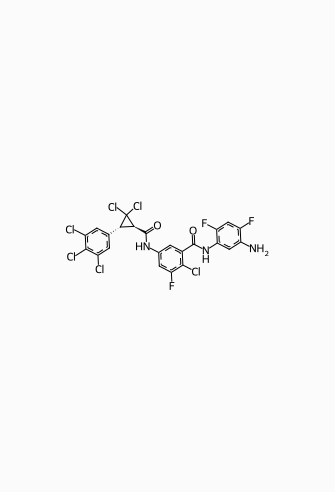 Nc1cc(NC(=O)c2cc(NC(=O)[C@H]3[C@H](c4cc(Cl)c(Cl)c(Cl)c4)C3(Cl)Cl)cc(F)c2Cl)c(F)cc1F